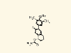 Cc1cc(-c2cc3c(cc2F)[C@H](OC(N)=O)CCC3)cc(C)c1OC(C)C